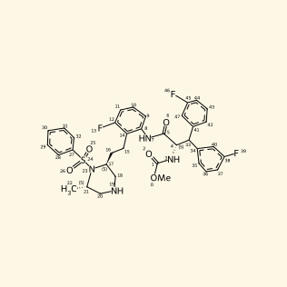 COC(=O)N[C@H](C(=O)Nc1cccc(F)c1CC[C@H]1CNC[C@H](C)N1S(=O)(=O)c1ccccc1)C(c1cccc(F)c1)c1cccc(F)c1